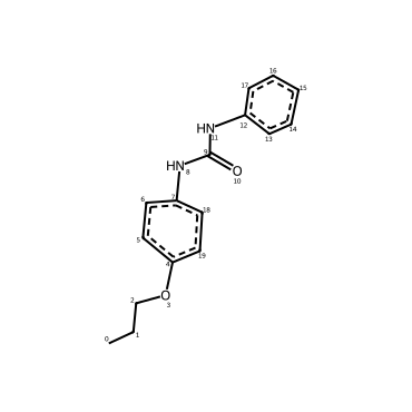 CCCOc1ccc(NC(=O)Nc2ccccc2)cc1